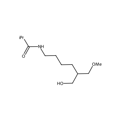 COCC(CO)CCCCNC(=O)C(C)C